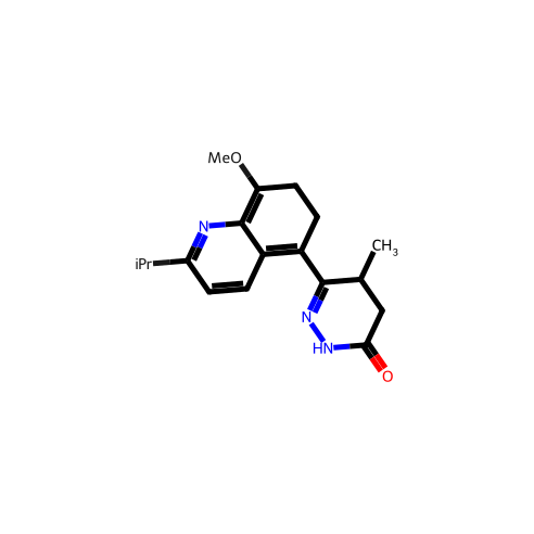 COC1=c2nc(C(C)C)ccc2=C(C2=NNC(=O)CC2C)CC1